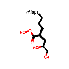 CCCCCCCCCCC(CC(O)CO)C(=O)OO